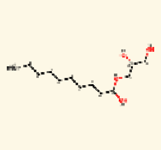 CCCCCCCCCCCCCCCCCC(O)OCC(O)CO